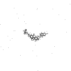 CC1Cc2cnc(OCc3cc(-c4c(F)cc(OCCCS(C)(=O)=O)cc4C(F)(F)F)ccc3F)cc2C1